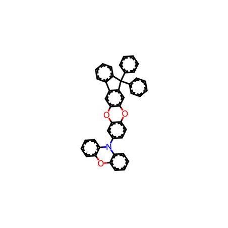 c1ccc(C2(c3ccccc3)c3ccccc3-c3cc4c(cc32)Oc2ccc(N3c5ccccc5Oc5ccccc53)cc2O4)cc1